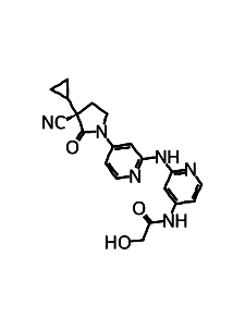 N#C[C@@]1(C2CC2)CCN(c2ccnc(Nc3cc(NC(=O)CO)ccn3)c2)C1=O